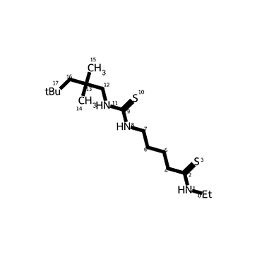 CCNC(=S)CCCCNC(=S)NCC(C)(C)CC(C)(C)C